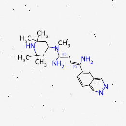 CN(/C(N)=C/C=C(\N)c1ccc2cnncc2c1)C1CC(C)(C)NC(C)(C)C1